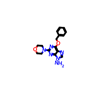 Nn1cnc2c(OCc3ccccc3)nc(N3CCOCC3)nc21